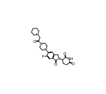 O=C1CCC(N2Cc3cc(N4CCN(C(=O)CN5CCCCC5)CC4)c(F)cc3C2=O)C(=O)N1